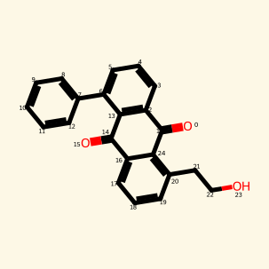 O=C1c2cccc(-c3ccccc3)c2C(=O)c2cccc(CCO)c21